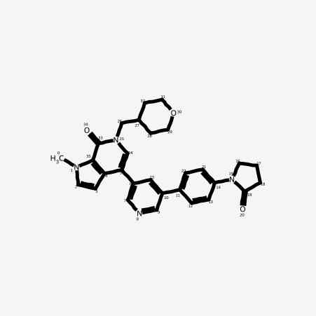 Cn1ccc2c(-c3cncc(-c4ccc(N5CCCC5=O)cc4)c3)cn(CC3CCOCC3)c(=O)c21